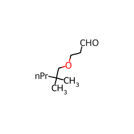 CCCC(C)(C)COCCC=O